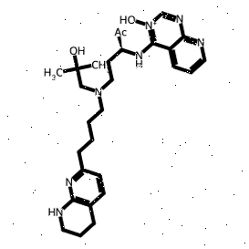 CC(=O)[C@H](CCN(CCCCc1ccc2c(n1)NCCC2)CC(C)(C)O)Nc1c2cccnc2nc[n+]1O